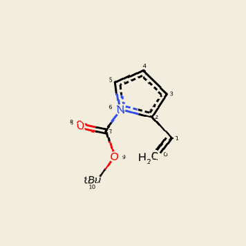 C=Cc1cccn1C(=O)OC(C)(C)C